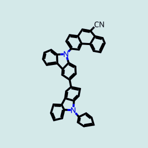 N#Cc1cc2ccc(-n3c4ccccc4c4cc(-c5ccc6c(c5)c5ccccc5n6-c5ccccc5)ccc43)cc2c2ccccc12